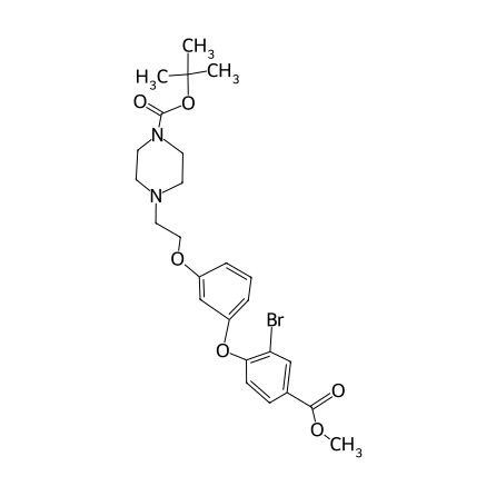 COC(=O)c1ccc(Oc2cccc(OCCN3CCN(C(=O)OC(C)(C)C)CC3)c2)c(Br)c1